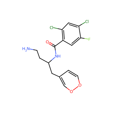 NCCC(CC1=COOC=C1)NC(=O)c1cc(F)c(Cl)cc1Cl